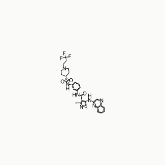 Cc1nsc(Nc2cnc3ccccc3n2)c1C(=O)Nc1cccc(NS(=O)(=O)C2CCN(CCC(F)(F)F)CC2)c1